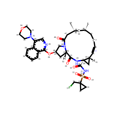 C[C@@H]1CC/C=C\[C@@H]2C[C@@]2(C(=O)NS(=O)(=O)C2(CF)CC2)NC(=O)[C@@H]2C[C@@H](Oc3ncc(N4CCOCC4)c4ccccc34)CN2C(=O)C[C@H](C)C1